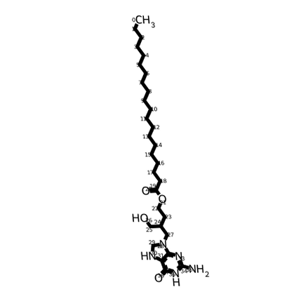 CCCCCCCCCCCCCCCCCCCC(=O)OCCC(CO)CN1CNc2c1nc(N)[nH]c2=O